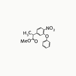 COC(=O)C(C)c1ccc([N+](=O)[O-])c(Oc2ccccc2)c1